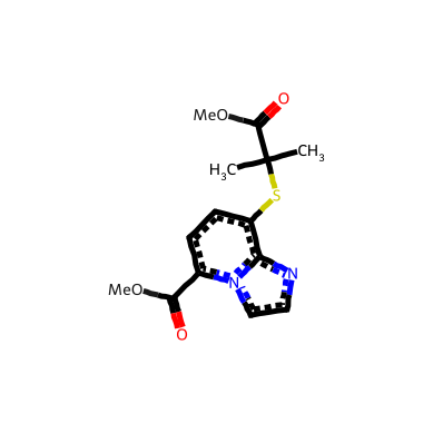 COC(=O)c1ccc(SC(C)(C)C(=O)OC)c2nccn12